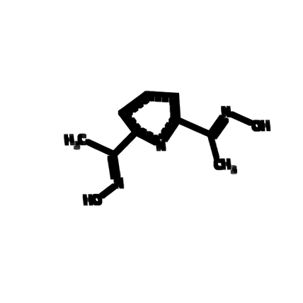 CC(=NO)c1cccc(C(C)=NO)n1